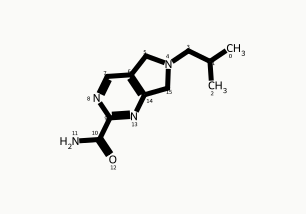 C[C](C)CN1Cc2cnc(C(N)=O)nc2C1